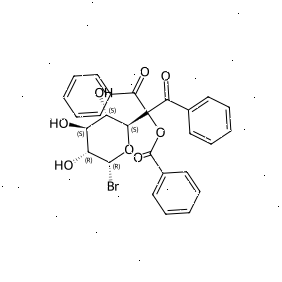 O=C(OC(C(=O)c1ccccc1)(C(=O)c1ccccc1)[C@H]1O[C@H](Br)[C@H](O)[C@@H](O)[C@@H]1O)c1ccccc1